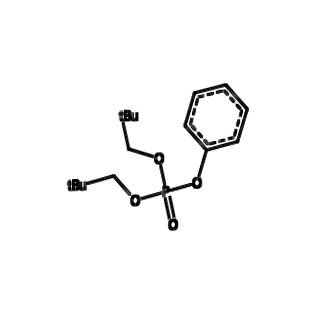 CC(C)(C)COP(=O)(OCC(C)(C)C)Oc1ccccc1